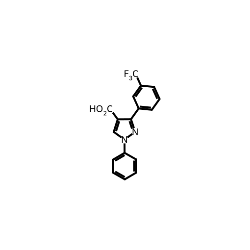 O=C(O)c1cn(-c2ccccc2)nc1-c1cccc(C(F)(F)F)c1